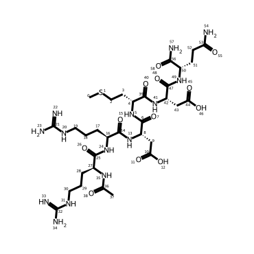 CSCC[C@@H](NC(=O)[C@H](CC(=O)O)NC(=O)[C@H](CCCNC(=N)N)NC(=O)[C@H](CCCNC(=N)N)NC(C)=O)C(=O)N[C@@H](CC(=O)O)C(=O)N[C@@H](CCC(N)=O)C(N)=O